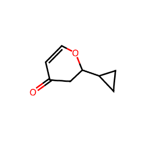 O=C1C=COC(C2CC2)C1